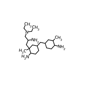 CCN(CC)CC(N)CC1(C)CC(CC2CCC(N)C(C)C2)CCC1N